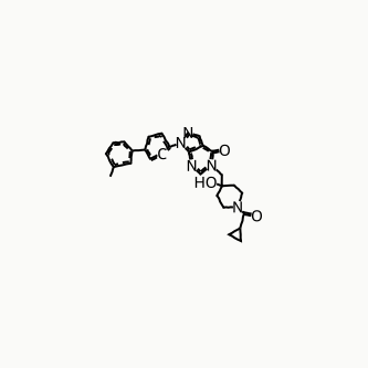 Cc1cccc(-c2ccc(-n3ncc4c(=O)n(CC5(O)CCN(C(=O)C6CC6)CC5)cnc43)cc2)c1